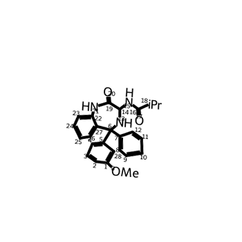 COc1cccc(C2(c3ccccc3)NC(NC(=O)C(C)C)C(=O)Nc3ccccc32)c1